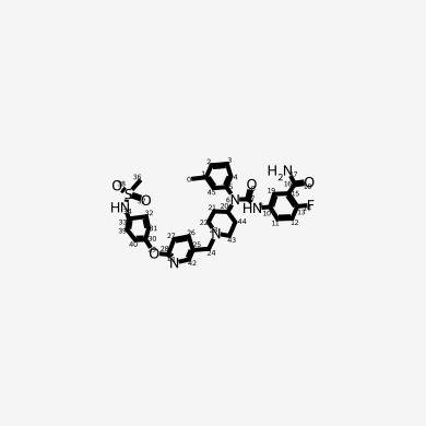 Cc1cccc(N(C(=O)Nc2ccc(F)c(C(N)=O)c2)C2CCN(Cc3ccc(Oc4ccc(NS(C)(=O)=O)cc4)nc3)CC2)c1